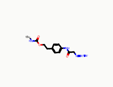 CC(C)(C)NC(=O)OCCc1ccc(NC(=O)CN=[N+]=[N-])cc1